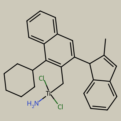 CC1=Cc2ccccc2C1c1cc2ccccc2c(C2CCCCC2)c1[CH2][Ti]([NH2])([Cl])[Cl]